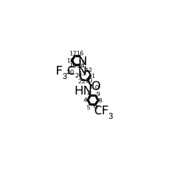 O=C(Nc1ccc(C(F)(F)F)cc1)C1=CCN(c2ncccc2C(F)(F)F)CC1